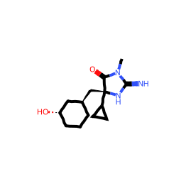 CN1C(=N)N[C@](C[C@H]2CCC[C@H](O)C2)(C2CC2)C1=O